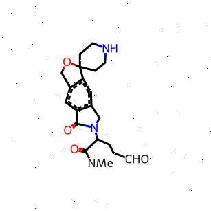 CNC(=O)C(CCC=O)N1Cc2cc3c(cc2C1=O)COC31CCNCC1